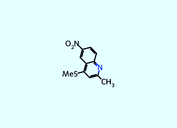 CSc1cc(C)nc2ccc([N+](=O)[O-])cc12